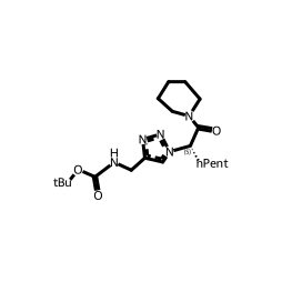 CCCCC[C@@H](C(=O)N1CCCCC1)n1cc(CNC(=O)OC(C)(C)C)nn1